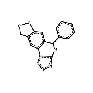 c1ccc(C2Nc3nnnn3-c3cc4c(cc32)OOC4)cc1